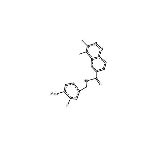 COc1ccc(CNC(=O)c2ccc3nnc(C)c(C)c3c2)cc1F